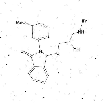 COc1cccc(N2C(=O)c3ccccc3C2OCC(O)CNC(C)C)c1